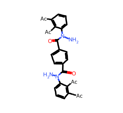 CC(=O)c1cccc(N(N)C(=O)c2ccc(C(=O)N(N)c3cccc(C(C)=O)c3C(C)=O)cc2)c1C(C)=O